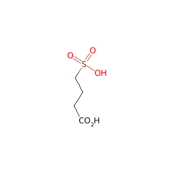 O=C(O)CCCS(=O)(=O)O